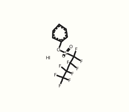 I.O=S(=O)(Oc1ccccc1)C(F)(F)C(F)(F)C(F)(F)C(F)(F)F